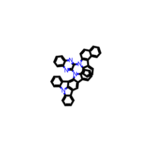 c1ccc2c(c1)ccc1c2c2ccccc2n1-c1nc2ccccc2nc1-n1c2ccccc2c2cc3c4ccccc4n4c5ccccc5c(c21)c34